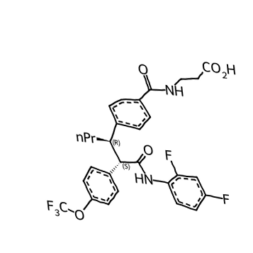 CCC[C@@H](c1ccc(C(=O)NCCC(=O)O)cc1)[C@H](C(=O)Nc1ccc(F)cc1F)c1ccc(OC(F)(F)F)cc1